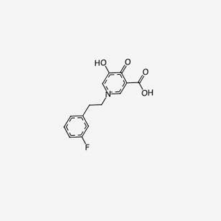 O=C(O)c1cn(CCc2cccc(F)c2)cc(O)c1=O